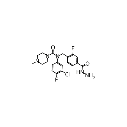 CN1CCN(C(=O)N(Cc2ccc(C(=O)NN)cc2F)c2ccc(F)c(Cl)c2)CC1